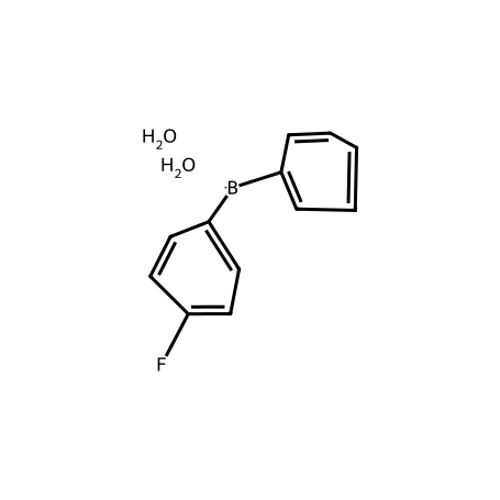 Fc1ccc([B]c2ccccc2)cc1.O.O